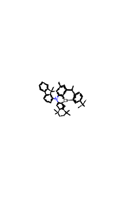 Cc1cc2c3c(c1)N(c1cccc4c1C(C)(C)c1ccccc1-4)c1cc4c(cc1B3c1cc(C(C)(C)C)ccc1C2C)C(C)(C)CCC4(C)C